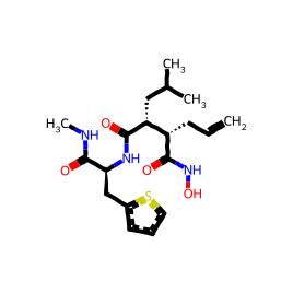 C=CC[C@H](C(=O)NO)[C@@H](CC(C)C)C(=O)N[C@@H](Cc1cccs1)C(=O)NC